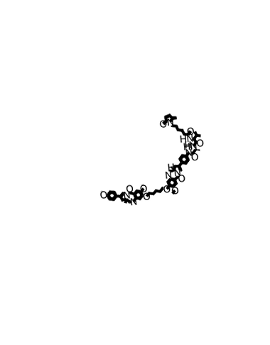 C=C1C=CC(=O)N1CCCCCC(=O)NC(C(=O)N[C@@H](C)C(=O)Nc1ccc(C2=CN3C(=O)c4cc(OC)c(OCCCCCOc5cc6c(cc5OC)C(=O)N5C=C(c7ccc(OC)cc7)CC5(C)C=N6)cc4N=C[C@@H]3C2)cc1)C(C)C